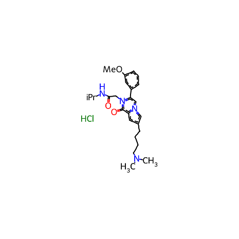 COc1cccc(-c2cn3cc(CCCCN(C)C)cc3c(=O)n2CC(=O)NC(C)C)c1.Cl